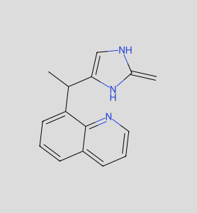 C=C1NC=C(C(C)c2cccc3cccnc23)N1